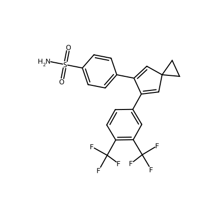 NS(=O)(=O)c1ccc(C2=CC3(C=C2c2ccc(C(F)(F)F)c(C(F)(F)F)c2)CC3)cc1